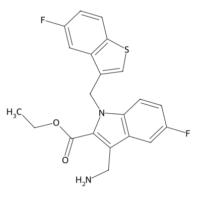 CCOC(=O)c1c(CN)c2cc(F)ccc2n1Cc1csc2ccc(F)cc12